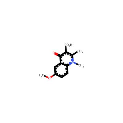 Cc1c(C(=O)O)c(=O)c2cc(OC(F)(F)F)ccc2n1C